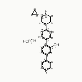 Cl.Cl.Oc1cc(-c2ccncc2)ccc1-c1cnc(N2CCN[C@@H](C3CC3)C2)nn1